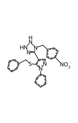 O=[N+]([O-])c1ccc(CN2NNN=C2c2cnn(-c3ccccc3)c2SCc2ccccc2)cc1